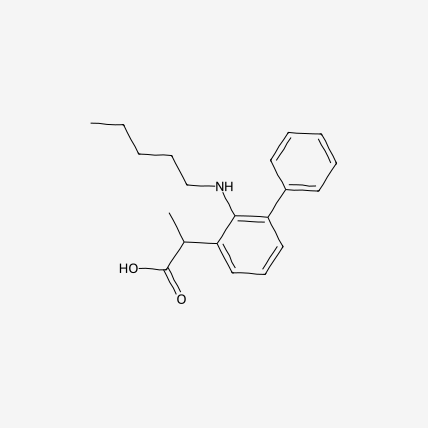 CCCCCNc1c(-c2ccccc2)cccc1C(C)C(=O)O